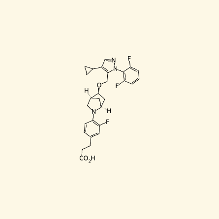 O=C(O)CCc1ccc(N2C[C@@H]3C[C@H]2C[C@@H]3OCc2c(C3CC3)cnn2-c2c(F)cccc2F)c(F)c1